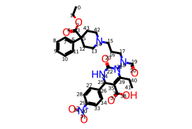 CCOC(=O)C1(c2ccccc2)CCN(CCCN(C=O)N2C(=O)NC(c3ccc([N+](=O)[O-])cc3)C(C(=O)O)=C2CC)CC1